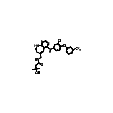 CC(C)(O)CC(=O)NCC1=Cc2c(ncnc2Nc2ccc(Oc3cccc(C(F)(F)F)c3)c(Cl)c2)NCC1